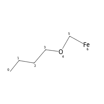 CCCCO[CH2][Fe]